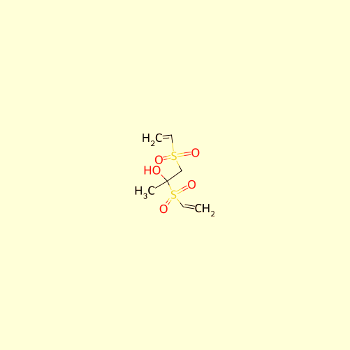 C=CS(=O)(=O)CC(C)(O)S(=O)(=O)C=C